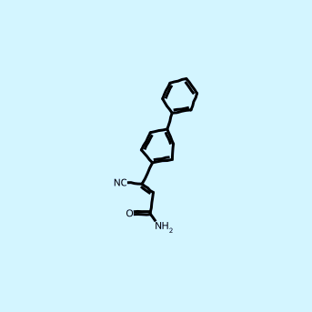 N#CC(=CC(N)=O)c1ccc(-c2ccccc2)cc1